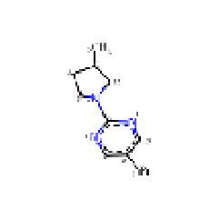 CC1CCN(c2ncc(C(C)C)cn2)C1